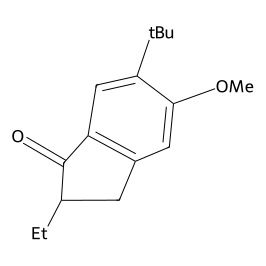 CCC1Cc2cc(OC)c(C(C)(C)C)cc2C1=O